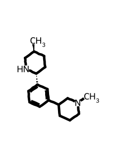 C[C@H]1CC[C@H](c2cccc(C3CCCN(C)C3)c2)NC1